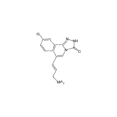 NC/C=C/c1cn2c(=O)[nH]nc2c2cc(Cl)ccc12